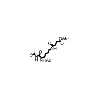 COC(=O)CCC(=O)NCCCC[C@H](NC(C)=O)C(=O)NC(=S)I